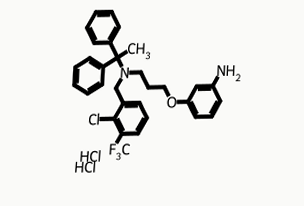 CC(c1ccccc1)(c1ccccc1)N(CCCOc1cccc(N)c1)Cc1cccc(C(F)(F)F)c1Cl.Cl.Cl